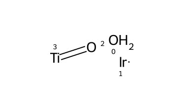 O.[Ir].[O]=[Ti]